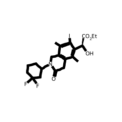 CCOC(=O)[C@@H](O)c1c(C)c2c(c(C)c1I)CN(C1CCCC(F)(F)C1)C(=O)C2